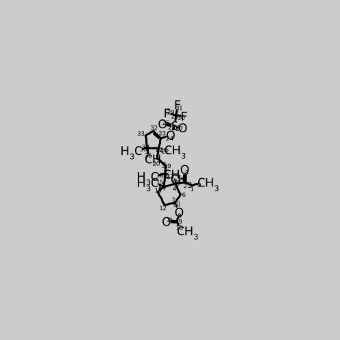 CCC(=O)[C@@]1(C)C[C@@H](OC(C)=O)CC[C@]1(C)C(C)(C)CC[C@]1(C)C(OS(=O)(=O)C(F)(F)F)=CCC1(C)C